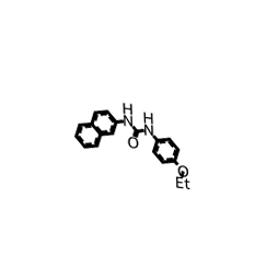 CCOc1ccc(NC(=O)Nc2ccc3ccccc3c2)cc1